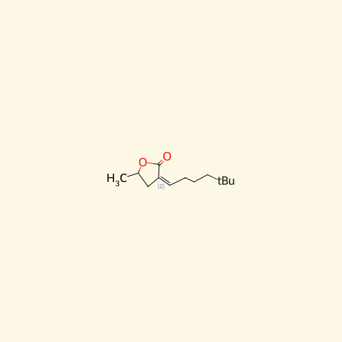 CC1C/C(=C/CCCC(C)(C)C)C(=O)O1